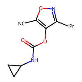 CC(C)c1noc(C#N)c1OC(=O)NC1CC1